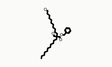 CCCCCCCCCCCC(C=O)(CCCCCCCCCCC=O)C(=O)OCc1ccccc1